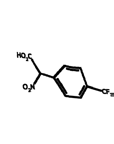 O=C(O)C(c1ccc(C(F)(F)F)cc1)[N+](=O)[O-]